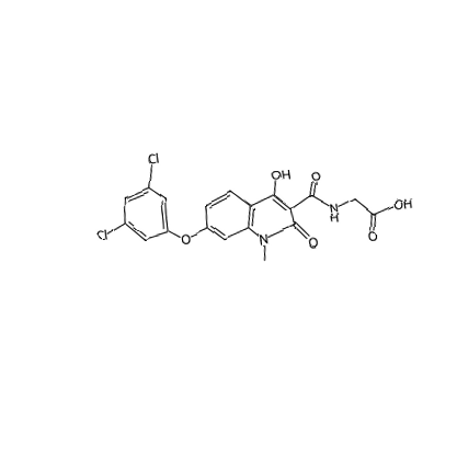 Cn1c(=O)c(C(=O)NCC(=O)O)c(O)c2ccc(Oc3cc(Cl)cc(Cl)c3)cc21